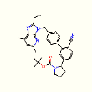 CCc1nc2c(C)cc(C)nc2n1Cc1ccc(-c2cc(C3CCCN3C(=O)OC(C)(C)C)ccc2C#N)cc1